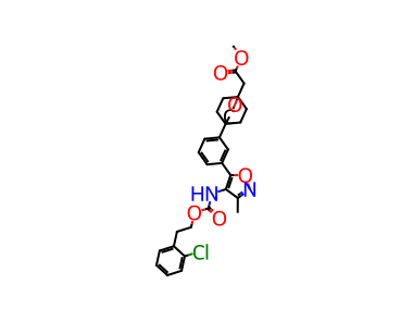 COC(=O)CC12CCC(c3cccc(-c4onc(C)c4NC(=O)OCCc4ccccc4Cl)c3)(CC1)CO2